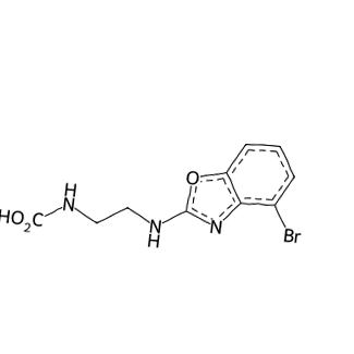 O=C(O)NCCNc1nc2c(Br)cccc2o1